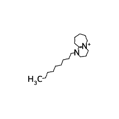 CCCCCCCCCN1CCC[N+]2=C1CCCCC2